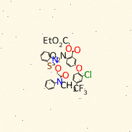 CCOC(=O)COC(=O)c1cc(Oc2ccc(C(F)(F)F)cc2Cl)ccc1[N+](=O)[O-].CN(C(=O)COc1nc2ccccc2s1)c1ccccc1